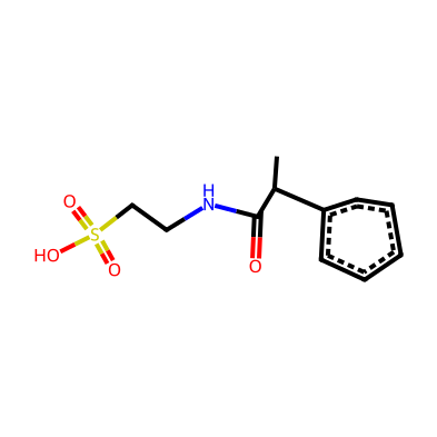 CC(C(=O)NCCS(=O)(=O)O)c1ccccc1